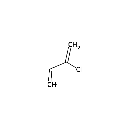 [CH]=CC(=C)Cl